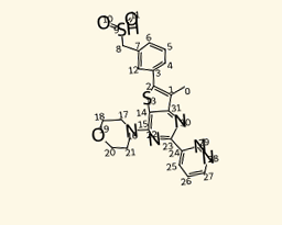 Cc1c(-c2cccc(C[SH](=O)=O)c2)sc2c(N3CCOCC3)nc(-c3cccnn3)nc12